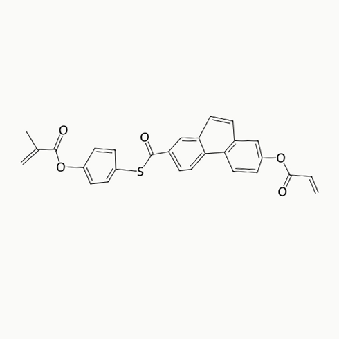 C=CC(=O)Oc1ccc2c(ccc3cc(C(=O)Sc4ccc(OC(=O)C(=C)C)cc4)ccc32)c1